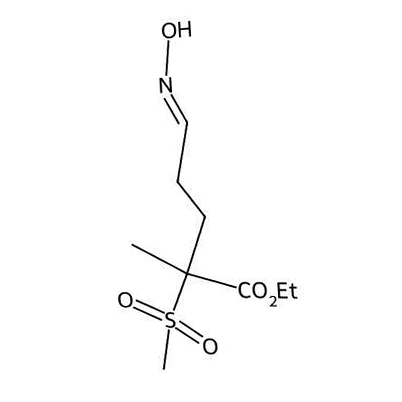 CCOC(=O)C(C)(CCC=NO)S(C)(=O)=O